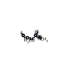 Cc1nnn(Cc2cc(C(F)(F)F)ccc2/C=C/C(=O)N(C)CC2CCN(Cc3ccc(F)cc3)CC2)n1